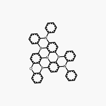 c1ccc(N2c3ccccc3B3c4ccc5c6c4N4c7c(ccc2c73)B2c3ccccc3N(c3ccccc3)c3ccc(c4c32)B6c2ccccc2O5)cc1